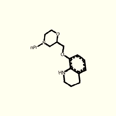 CCCN1CCOC(COc2cccc3c2NCCC3)C1